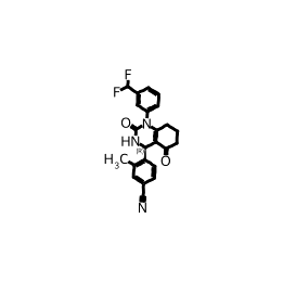 Cc1cc(C#N)ccc1[C@H]1NC(=O)N(c2cccc(C(F)F)c2)C2=C1C(=O)CCC2